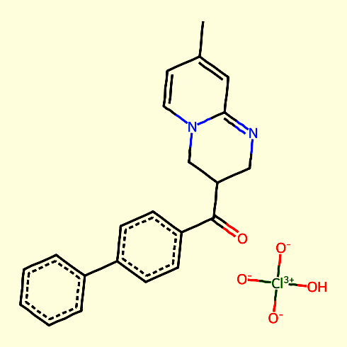 CC1=CC2=NCC(C(=O)c3ccc(-c4ccccc4)cc3)CN2C=C1.[O-][Cl+3]([O-])([O-])O